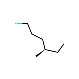 CC[C@@H](C)CCCF